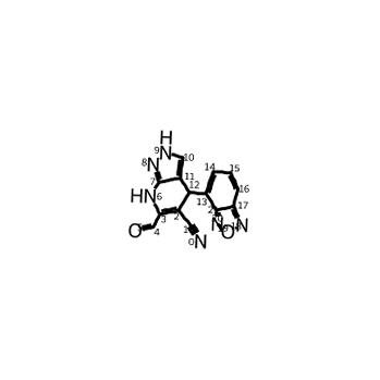 N#CC1=C(C=O)Nc2n[nH]cc2C1c1cccc2nonc12